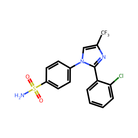 NS(=O)(=O)c1ccc(-n2cc(C(F)(F)F)nc2-c2ccccc2Cl)cc1